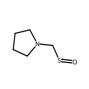 O=[S+]CN1CCCC1